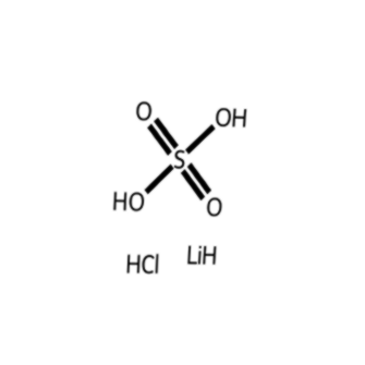 Cl.O=S(=O)(O)O.[LiH]